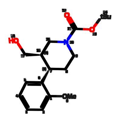 COc1ccccc1[C@H]1CCN(C(=O)OC(C)(C)C)C[C@H]1CO